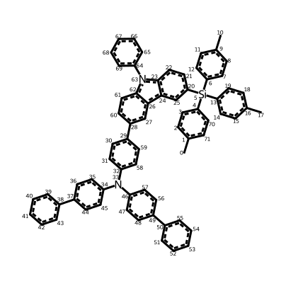 Cc1ccc([Si](c2ccc(C)cc2)(c2ccc(C)cc2)c2ccc3c(c2)c2cc(-c4ccc(N(c5ccc(-c6ccccc6)cc5)c5ccc(-c6ccccc6)cc5)cc4)ccc2n3-c2ccccc2)cc1